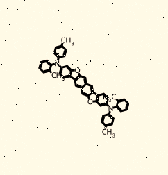 Cc1ccc(N(c2ccc3c(c2)oc2cc4cc5c(cc4cc23)oc2cc(N(c3ccc(C)cc3)c3ccccc3C)ccc25)c2ccccc2C)cc1